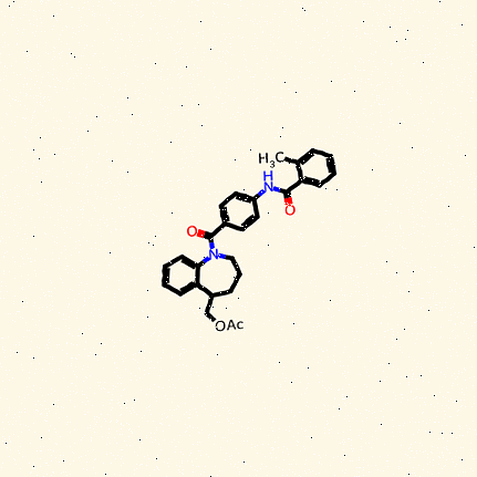 CC(=O)OCC1CCCN(C(=O)c2ccc(NC(=O)c3ccccc3C)cc2)c2ccccc21